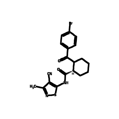 Cc1nsc(NC(=O)[C@H]2CCCCC2C(=O)c2ccc(Br)cc2)c1C#N